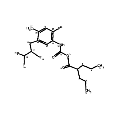 CCCC(CCC)C(=O)OC(=O)Nc1cc(SC(F)C(F)F)c(C)cc1F